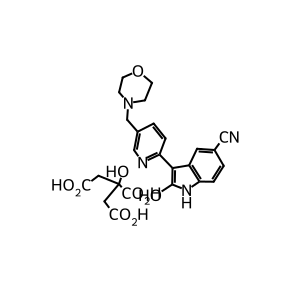 N#Cc1ccc2[nH]c(O)c(-c3ccc(CN4CCOCC4)cn3)c2c1.O=C(O)CC(O)(CC(=O)O)C(=O)O